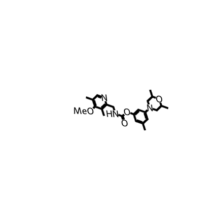 COc1c(C)cnc(CNC(=O)Oc2cc(C)cc(N3CC(C)OC(C)C3)c2)c1C